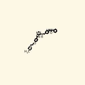 CN1CCN(CCCOc2ccc(-c3nc4c(NCCc5ccc(NC(=O)Nc6ccccc6)cc5)ncnc4s3)cc2)CC1